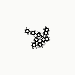 c1ccc(-c2ccc(-c3ccc(N(c4ccc5ccccc5c4)c4cc5c(oc6cccc(-c7ccccc7-c7ccccc7)c65)c5ccccc45)cc3)cc2)cc1